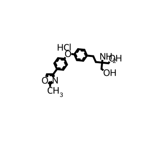 Cc1nc(-c2ccc(Oc3ccc(CCC(N)(CO)CO)cc3)cc2)co1.Cl